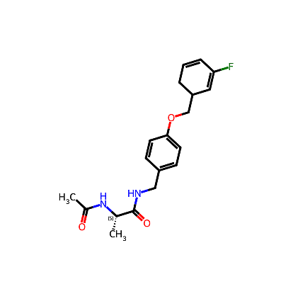 CC(=O)N[C@@H](C)C(=O)NCc1ccc(OCC2C=C(F)C=CC2)cc1